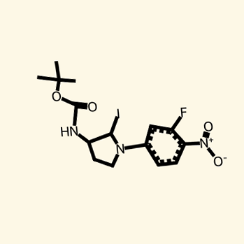 CC(C)(C)OC(=O)NC1CCN(c2ccc([N+](=O)[O-])c(F)c2)C1I